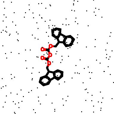 O=C(OCC1c2ccccc2-c2ccccc21)OC(=O)OCC1c2ccccc2-c2ccccc21